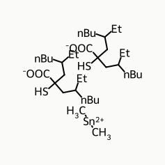 CCCCC(CC)CC(S)(CC(CC)CCCC)C(=O)[O-].CCCCC(CC)CC(S)(CC(CC)CCCC)C(=O)[O-].[CH3][Sn+2][CH3]